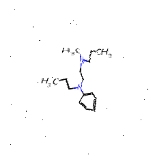 CCCN(C)CCN(CCC)c1ccccc1